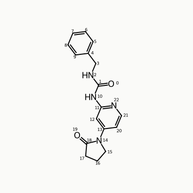 O=C(NCc1ccccc1)Nc1cc(N2CCCC2=O)ccn1